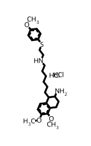 COc1ccc(SCCNCCCCCCC2c3ccc(OC)c(OC)c3CCC2N)cc1.Cl.Cl